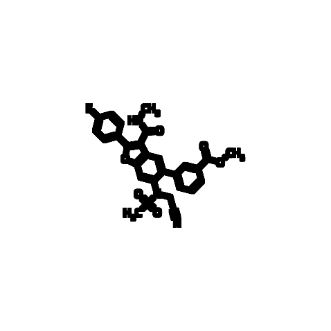 CNC(=O)c1c(-c2ccc(F)cc2)oc2cc(N(CC#N)S(C)(=O)=O)c(-c3cccc(C(=O)OC)c3)cc12